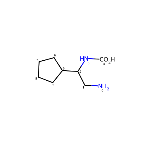 NCC(NC(=O)O)C1CCCC1